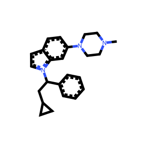 CN1CCN(c2ccc3ccn(C(CC4CC4)c4ccccc4)c3c2)CC1